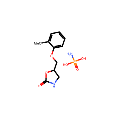 COc1ccccc1OCC1CNC(=O)O1.NP(=O)(O)O